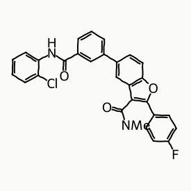 CNC(=O)c1c(-c2ccc(F)cc2)oc2ccc(-c3cccc(C(=O)Nc4ccccc4Cl)c3)cc12